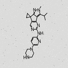 CC(C)c1c2c(nn1C)C1(CC1)c1cnc(Nc3ccc(N4CCNCC4)cn3)nc1-2